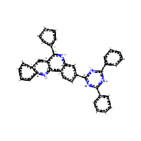 c1ccc(-c2nc(-c3ccccc3)nc(-c3ccc4c(c3)nc(-c3ccccc3)c3cc5ccccc5nc34)n2)cc1